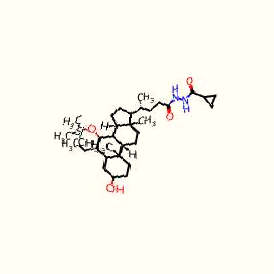 CC[C@@H]1C2C[C@H](O)CCC2(C)[C@H]2CCC3(C)C([C@H](C)CCC(=O)NNC(=O)C4CC4)CC[C@H]3C2[C@@H]1O[Si](C)(C)C